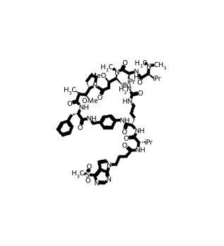 CC[C@H](C)[C@@H]([C@@H](CC(=O)N1CCC[C@H]1[C@H](OC)[C@@H](C)C(=O)N[C@@H](Cc1ccccc1)C(=O)NCc1ccc(NC(=O)[C@H](CCCNC(N)=O)NC(=O)[C@@H](NC(=O)CCCn2ccc3c(S(C)(=O)=O)ncnc32)C(C)C)cc1)OC)N(C)C(=O)[C@@H](NC(=O)[C@H](C(C)C)N(C)C)C(C)C